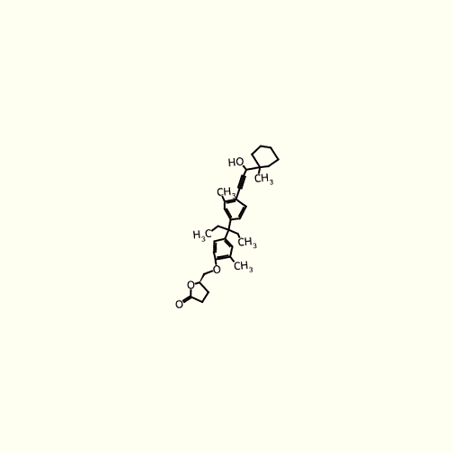 CCC(CC)(c1ccc(C#CC(O)C2(C)CCCCC2)c(C)c1)c1ccc(OC[C@H]2CCC(=O)O2)c(C)c1